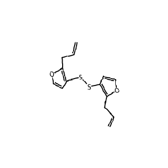 C=CCc1occc1SSc1ccoc1CC=C